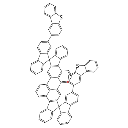 c1ccc2c(c1)-c1ccc(-c3ccc4sc5ccccc5c4c3)cc1C21c2ccccc2-c2c1cc1c3cccc4c5c(cc(c6cccc2c61)c43)C1(c2ccccc2-c2ccc(-c3ccc4sc6ccccc6c4c3)cc21)c1ccccc1-5